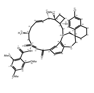 COc1nc(OC)c(C(=O)N[S@@]2(=O)=NC(=O)c3ccc4c(c3)N(C[C@@H]3CC[C@H]3[C@@H](OC)/C=C/C[C@H](C)C2)C[C@@]2(CCCc3cc(Cl)ccc32)CO4)c(OC)n1